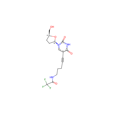 O=C(NCCCC#Cc1cn([C@H]2CC[C@@H](CO)O2)c(=O)[nH]c1=O)C(F)(F)F